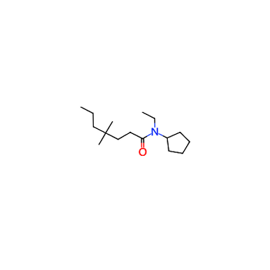 CCCC(C)(C)CCC(=O)N(CC)C1CCCC1